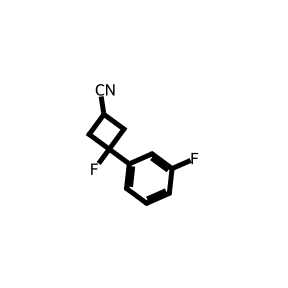 N#CC1CC(F)(c2cccc(F)c2)C1